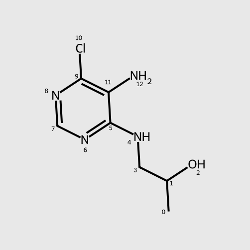 CC(O)CNc1ncnc(Cl)c1N